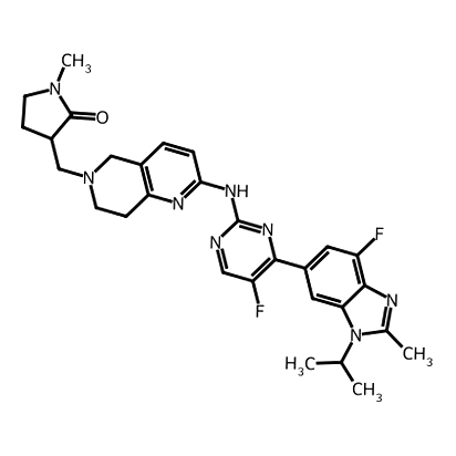 Cc1nc2c(F)cc(-c3nc(Nc4ccc5c(n4)CCN(CC4CCN(C)C4=O)C5)ncc3F)cc2n1C(C)C